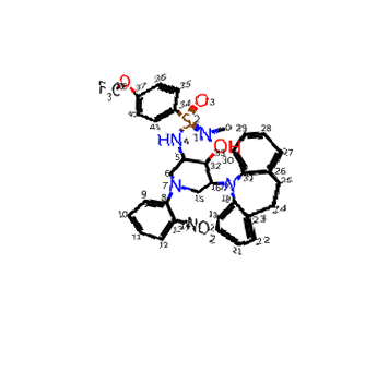 CN=S(=O)(NC1CN(c2ccccc2[N+](=O)[O-])CC(N2c3ccccc3CCc3ccccc32)C1O)c1ccc(OC(F)(F)F)cc1